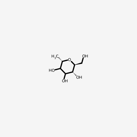 C[C@@H]1O[C@@H](CO)[C@H](O)C(O)C1O